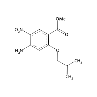 C=C(C)COc1cc(N)c([N+](=O)[O-])cc1C(=O)OC